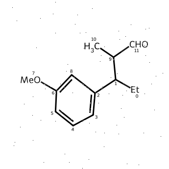 CCC(c1cccc(OC)c1)C(C)C=O